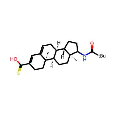 CC(C)(C)C(=O)NC1CC[C@H]2[C@@H]3CC=C4C=C(C(O)=S)CC[C@]4(C)[C@@H]3CC[C@]12C